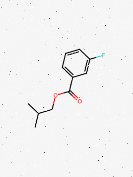 CC(C)COC(=O)c1cccc(F)c1